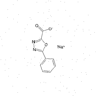 O=C([O-])c1nnc(-c2ccccc2)o1.[Na+]